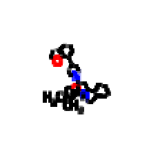 CC(C)(C)CC(=O)N1CCc2ccccc2C1CCN1CCC(c2cccc3c2OCC3)CC1